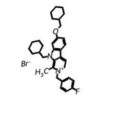 Cc1c2c(cc[n+]1Cc1ccc(F)cc1)c1ccc(OCC3CCCCC3)cc1n2CC1CCCCC1.[Br-]